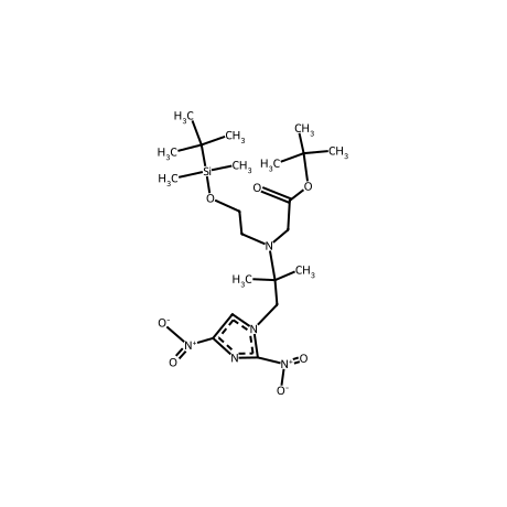 CC(C)(C)OC(=O)CN(CCO[Si](C)(C)C(C)(C)C)C(C)(C)Cn1cc([N+](=O)[O-])nc1[N+](=O)[O-]